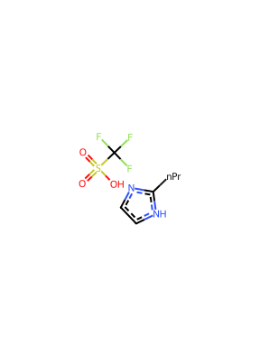 CCCc1ncc[nH]1.O=S(=O)(O)C(F)(F)F